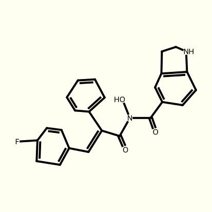 O=C(C(=Cc1ccc(F)cc1)c1ccccc1)N(O)C(=O)c1ccc2c(c1)CCN2